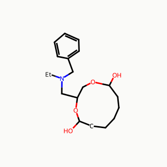 CCN(Cc1ccccc1)CC1COC(O)CCCCCC(O)O1